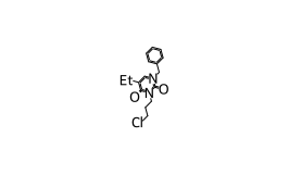 CCc1cn(Cc2ccccc2)c(=O)n(CCCCl)c1=O